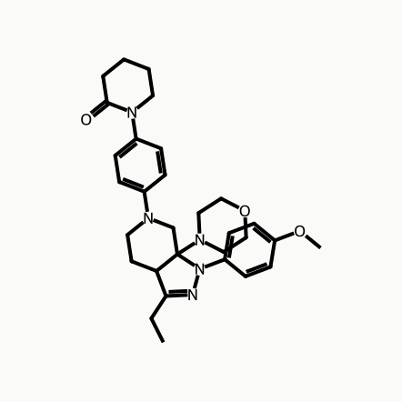 CCC1=NN(c2ccc(OC)cc2)C2(N3CCOCC3)CN(c3ccc(N4CCCCC4=O)cc3)CCC12